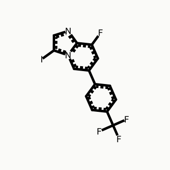 Fc1cc(-c2ccc(C(F)(F)F)cc2)cn2c(I)cnc12